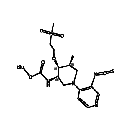 C[C@H]1CN(c2ccncc2N=C=S)C[C@@H](NC(=O)OC(C)(C)C)[C@H]1OCCS(C)(=O)=O